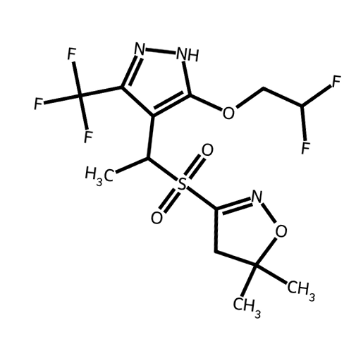 CC(c1c(C(F)(F)F)n[nH]c1OCC(F)F)S(=O)(=O)C1=NOC(C)(C)C1